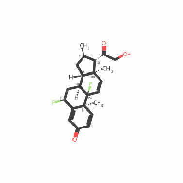 C[C@@H]1C[C@H]2[C@@H]3C[C@H](F)C4=CC(=O)C=C[C@]4(C)[C@@]3(F)C=C[C@]2(C)[C@H]1C(=O)CO